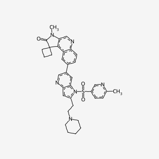 Cc1ccc(S(=O)(=O)n2c(CCN3CCCCC3)cc3ncc(-c4ccc5ncc6c(c5c4)C4(CCC4)C(=O)N6C)cc32)cn1